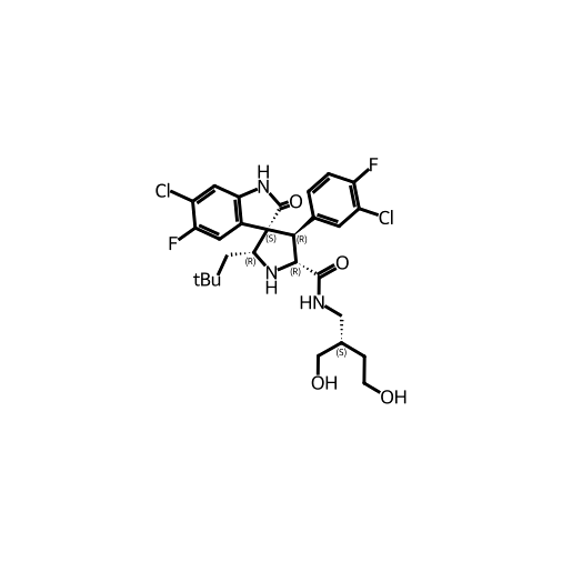 CC(C)(C)C[C@H]1N[C@@H](C(=O)NC[C@@H](CO)CCO)[C@H](c2ccc(F)c(Cl)c2)[C@@]12C(=O)Nc1cc(Cl)c(F)cc12